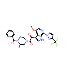 COc1cnc(-n2ccc(C(F)(F)F)n2)c2[nH]cc(C(=O)C(=O)N3CCN(C(=O)c4ccccc4)[C@H](C)C3)c12